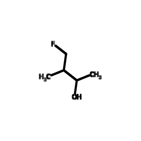 CC(O)C(C)CF